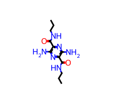 CCCNC(=O)c1nc(N)c(C(=O)NCCC)nc1N